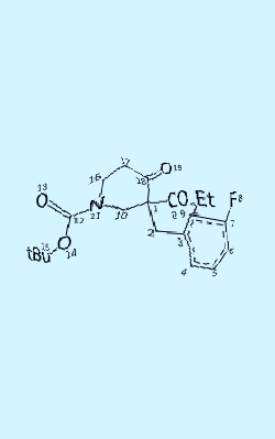 CCOC(=O)C1(Cc2cccc(F)c2)CN(C(=O)OC(C)(C)C)CCC1=O